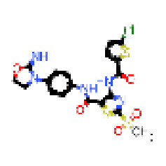 CS(=O)(=O)c1nc(NC(=O)c2ccc(Cl)s2)c(C(=O)Nc2ccc(N3CCOC3=N)cc2)s1